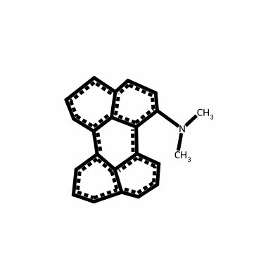 CN(C)c1ccc2cccc3c4cccc5cccc(c1c23)c54